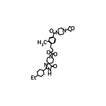 CCC1CCC(C2=NC3(CCN(S(=O)(=O)CCc4ccc(C(=O)N5CCN(C6COC6)CC5)cc4C)CC3)C(=O)N2)CC1